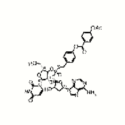 CO[C@H]1C(OP(=O)(O[C@H]2O[C@@H](n3cnc4c(N)ncnc43)CC2O)SCc2ccc(OC(=O)c3ccc(OC(C)=O)cc3)cc2)[C@@H](CO)O[C@H]1n1ccc(=O)[nH]c1=O